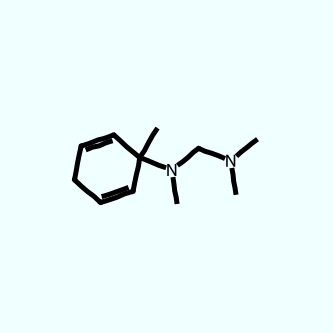 CN(C)CN(C)C1(C)C=CCC=C1